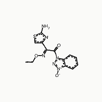 CCON=C(C(=O)n1n[n+]([O-])c2ccccc21)c1csc(N)n1